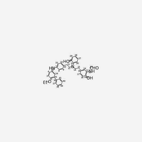 CCOc1ccc(Nc2ccc(CCN(CCc3ccc(O)c(NC=O)c3)c3ccccc3O)cc2)cc1-c1ccccc1